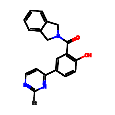 CCc1nccc(-c2ccc(O)c(C(=O)N3Cc4ccccc4C3)c2)n1